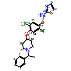 CC(c1ccccc1)N1CCC(Oc2cc(F)c(SNc3nccs3)cc2Cl)CC1